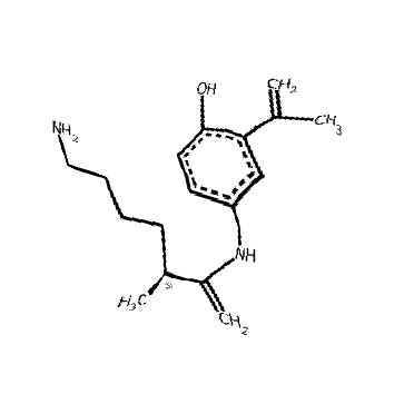 C=C(C)c1cc(NC(=C)[C@@H](C)CCCCN)ccc1O